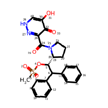 CS(=O)(=O)OC(C(c1ccccc1)c1ccccc1)[C@H]1CCCN1C(=O)c1n[nH]cc(O)c1=O